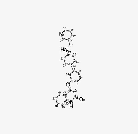 O=c1cc(Oc2cccc(-c3ccc(NCc4cccnc4)cc3)c2)c2ccccc2[nH]1